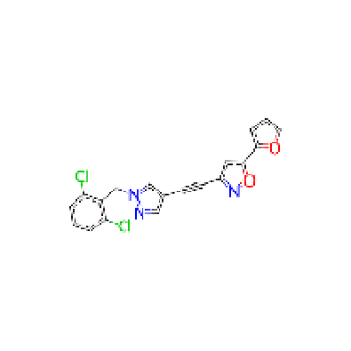 Clc1cccc(Cl)c1Cn1cc(C#Cc2cc(-c3ccco3)on2)cn1